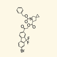 O=C(COC(=O)C1CC2(CC2)CN1C(=O)OCc1ccccc1)c1ccc2c(c1)C(F)(F)c1cc(Br)ccc1-2